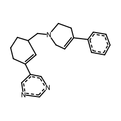 C1=C(c2cncnc2)CCCC1CN1CC=C(c2ccccc2)CC1